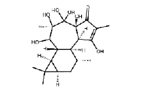 CC1=C(O)[C@H]2[C@@H]3[C@@H](C(O)[C@@](C)(O)C(O)(O)[C@]2(O)C1=O)[C@H]1[C@@H](C[C@H]3C)C1(C)C